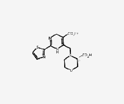 CCOC(=O)C1=C(CN2CCOC[C@H]2C(=O)O)NC(c2nccs2)=NC1